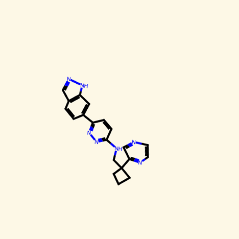 c1cnc(C2(CNc3ccc(-c4ccc5cn[nH]c5c4)nn3)CCC2)cn1